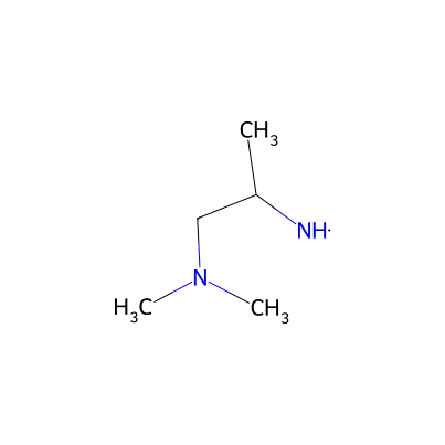 CC([NH])CN(C)C